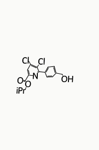 CC(C)OC(=O)c1cc(Cl)c(Cl)c(-c2ccc(CO)cc2)n1